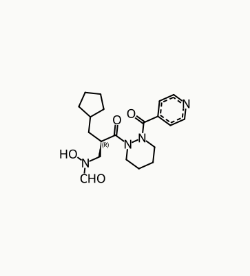 O=CN(O)C[C@@H](CC1CCCC1)C(=O)N1CCCCN1C(=O)c1ccncc1